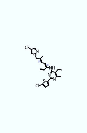 C=C/C(=C\C=C(/C)Cn1cc(Cl)cn1)Nc1nc(-c2ccc(Cl)s2)nc(C)c1CC